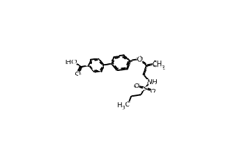 CCCS(=O)(=O)NCC(C)Oc1ccc(-c2ccc(C(=O)O)cc2)cc1